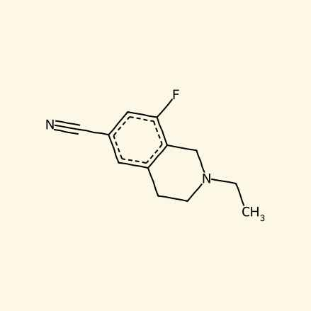 CCN1CCc2cc(C#N)cc(F)c2C1